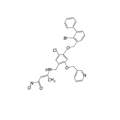 C/C(=C\C(=O)N=O)NCc1cc(Cl)c(OCc2cccc(-c3ccccc3)c2Br)cc1OCc1cccnc1